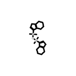 C[Si](C)(O[Si](C)(C)C1=C[CH]C2=C1CCCC2)C1=C[CH]C2=C1CCCC2